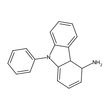 NC1C=CC=C2C1c1ccccc1N2c1ccccc1